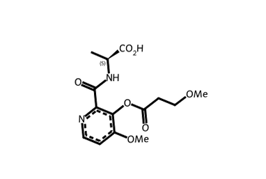 COCCC(=O)Oc1c(OC)ccnc1C(=O)N[C@@H](C)C(=O)O